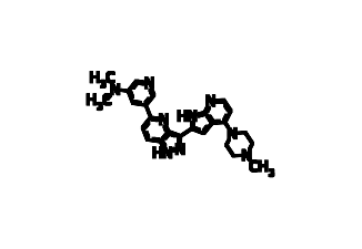 CN1CCN(c2ccnc3[nH]c(-c4n[nH]c5ccc(-c6cncc(N(C)C)c6)nc45)cc23)CC1